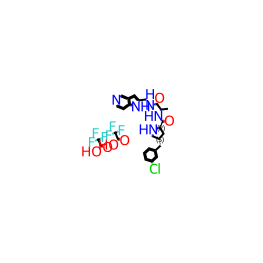 CC(NC(=O)[C@H]1C[C@H](Cc2cccc(Cl)c2)CN1)C(=O)NCc1cc2cnccc2[nH]1.O=C(O)C(F)(F)F.O=C(O)C(F)(F)F